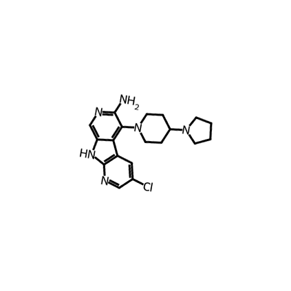 Nc1ncc2[nH]c3ncc(Cl)cc3c2c1N1CCC(N2CCCC2)CC1